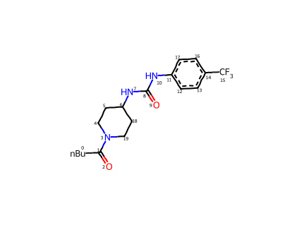 CCCCC(=O)N1CCC(NC(=O)Nc2ccc(C(F)(F)F)cc2)CC1